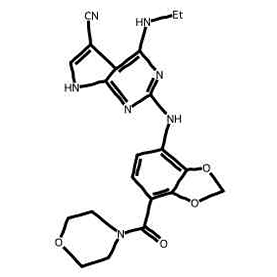 CCNc1nc(Nc2ccc(C(=O)N3CCOCC3)c3c2OCO3)nc2[nH]cc(C#N)c12